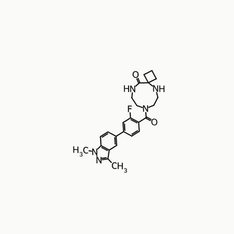 Cc1nn(C)c2ccc(-c3ccc(C(=O)N4CCNC(=O)C5(CCC5)NCC4)c(F)c3)cc12